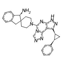 N[C@@H]1c2ccccc2CC12CCN(c1nc3[nH]nc([C@H]4C[C@H]4c4ccccc4)c3c3nncn13)CC2